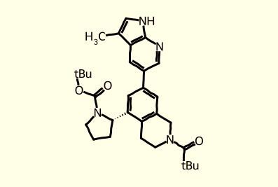 Cc1c[nH]c2ncc(-c3cc4c(c([C@@H]5CCCN5C(=O)OC(C)(C)C)c3)CCN(C(=O)C(C)(C)C)C4)cc12